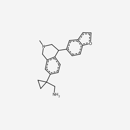 CN1Cc2cc(C3(CN)CC3)ccc2C(c2ccc3occc3c2)C1